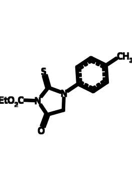 CCOC(=O)N1C(=O)CN(c2ccc(C)cc2)C1=S